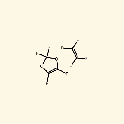 FC(F)=C(F)F.FC1=C(F)OC(F)(F)O1